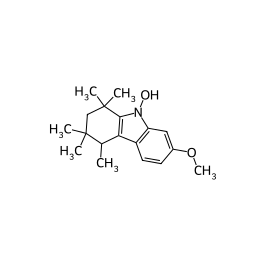 COc1ccc2c3c(n(O)c2c1)C(C)(C)CC(C)(C)C3C